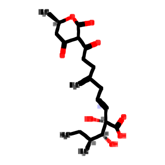 C=C(C/C=C/[C@@](O)(C(=O)O)[C@H](O)[C@@H](C)CC)CCC(=O)C1C(=O)C[C@@H](C)OC1=O